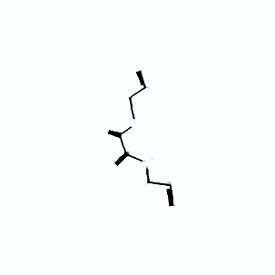 C=CCSC(=O)C(=O)SCC=C